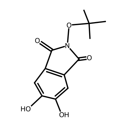 CC(C)(C)ON1C(=O)c2cc(O)c(O)cc2C1=O